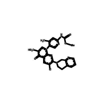 Cc1cc(NC(=O)OC(C)(C)C)ncc1-n1cc(C(=O)O)c(=O)c2cc(Cl)c(N3CCc4cccnc4C3)nc21